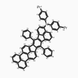 CC(C)c1ccc(N(c2ccc(C(C)C)cc2)c2ccc3c4c(-c5ccccc5)c5c6ccc7c8cccc9cccc(c%10ccc(c5c(-c5ccccc5)c4c4cccc2c43)c6c%107)c98)cc1